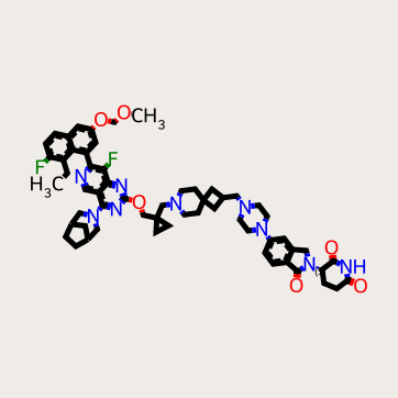 CCc1c(F)ccc2cc(OCOC)cc(-c3ncc4c(N5CC6CCC(C6)C5)nc(OCC5(CN6CCC7(CC6)CC(CN6CCN(c8ccc9c(c8)CN([C@H]8CCC(=O)NC8=O)C9=O)CC6)C7)CC5)nc4c3F)c12